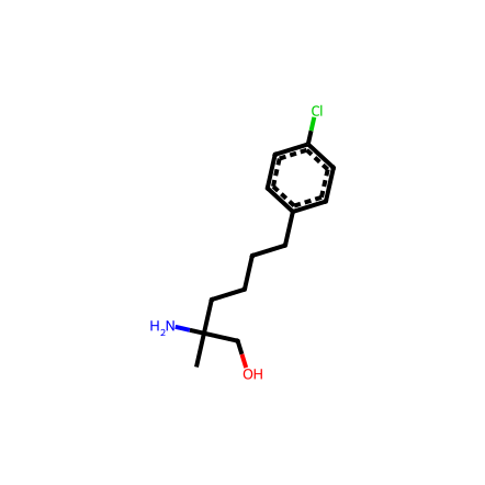 CC(N)(CO)CCCCc1ccc(Cl)cc1